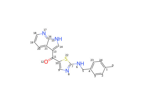 Cc1ccc(CNc2ncc(C(=O)c3c[nH]c4ncccc34)s2)cc1